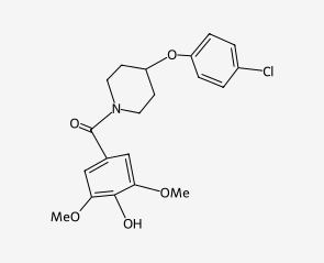 COc1cc(C(=O)N2CCC(Oc3ccc(Cl)cc3)CC2)cc(OC)c1O